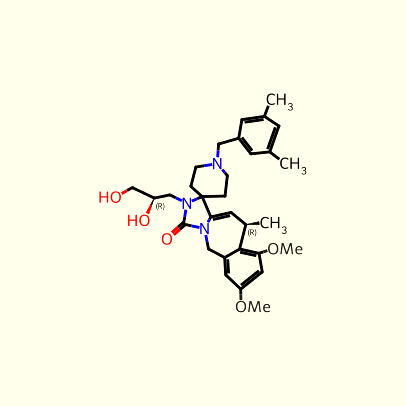 COc1cc2c(c(OC)c1)[C@H](C)C=C1N(C2)C(=O)N(C[C@@H](O)CO)C12CCN(Cc1cc(C)cc(C)c1)CC2